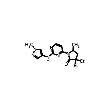 CCC1(CC)CC(C)N(c2ccnc(Nc3cnn(C)c3)n2)C1=O